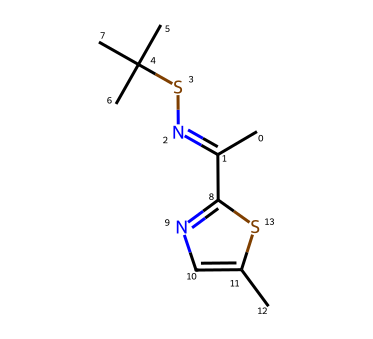 C/C(=N\SC(C)(C)C)c1ncc(C)s1